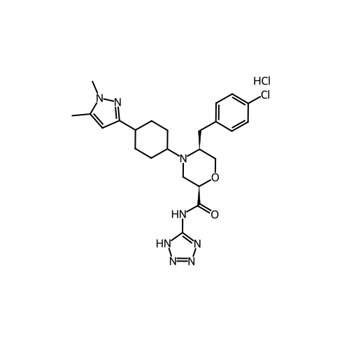 Cc1cc(C2CCC(N3C[C@H](C(=O)Nc4nnn[nH]4)OC[C@@H]3Cc3ccc(Cl)cc3)CC2)nn1C.Cl